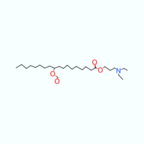 CCCCCCCCC(CCCCCCCCC(=O)OCCCN(CC)CC)OC=O